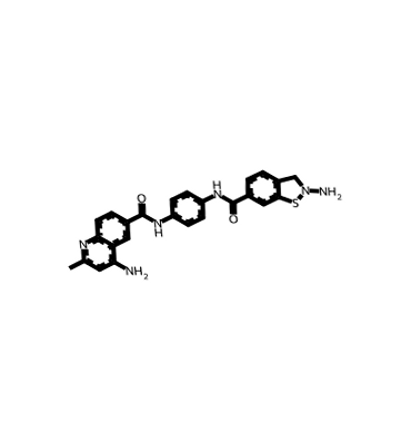 Cc1cc(N)c2cc(C(=O)Nc3ccc(NC(=O)c4ccc5c(c4)SN(N)C5)cc3)ccc2n1